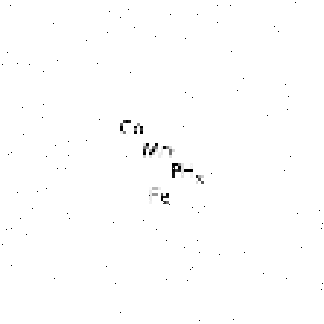 P.[Co].[Fe].[Mn]